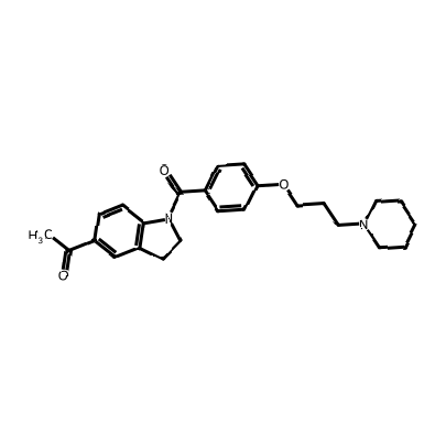 CC(=O)c1ccc2c(c1)CCN2C(=O)c1ccc(OCCCN2CCCCC2)cc1